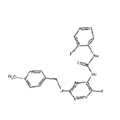 Cc1ccc(COc2ncc(F)c(NC(=O)Nc3ccccc3F)n2)cc1